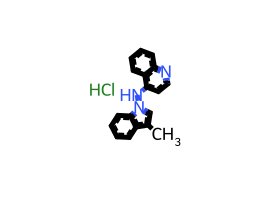 Cc1cn(Nc2ccnc3ccccc23)c2ccccc12.Cl